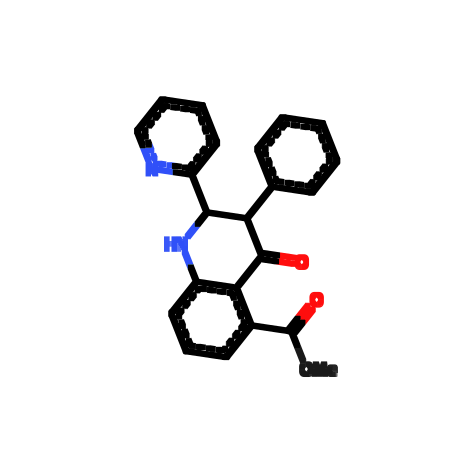 COC(=O)c1cccc2c1C(=O)C(c1ccccc1)C(c1ccccn1)N2